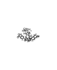 CN[C@@H](C)C(=O)N[C@H]1CN(C(=O)c2ccc(C(=O)O)cc2)c2ccccc2N(Cc2c(OC)ccc3cc(Br)ccc23)C1=O